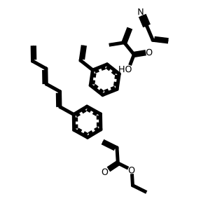 C=C(C)C(=O)O.C=CC#N.C=CC(=O)OCC.C=CC=CC=Cc1ccccc1.C=Cc1ccccc1